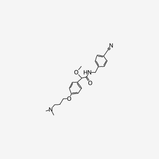 COC(C(=O)NCc1ccc(C#N)cc1)c1ccc(OCCCN(C)C)cc1